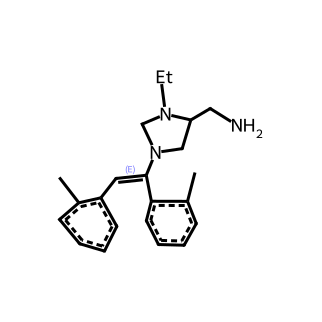 CCN1CN(/C(=C/c2ccccc2C)c2ccccc2C)CC1CN